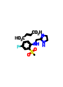 CS(=O)(=O)c1cc(F)ccc1NCC1=NCCN1.O=C(O)C=CC(=O)O